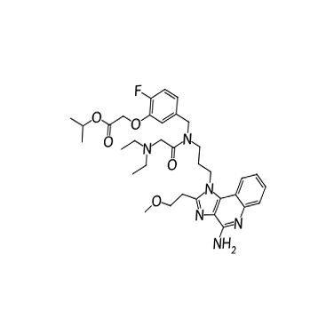 CCN(CC)CC(=O)N(CCCn1c(CCOC)nc2c(N)nc3ccccc3c21)Cc1ccc(F)c(OCC(=O)OC(C)C)c1